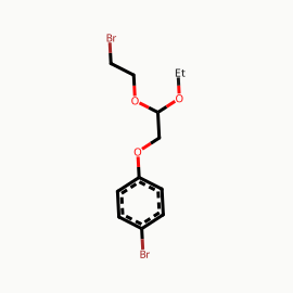 CCOC(COc1ccc(Br)cc1)OCCBr